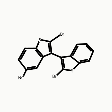 N#Cc1ccc2sc(Br)c(-c3c(Br)sc4ccccc34)c2c1